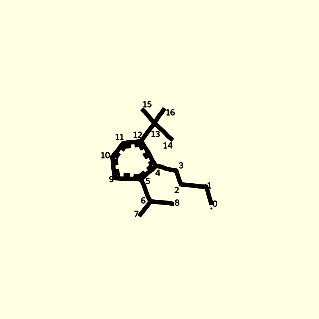 [CH2]CCCc1c(C(C)C)cccc1C(C)(C)C